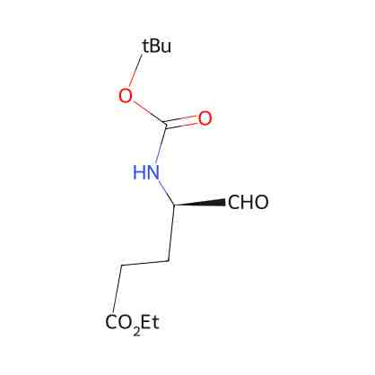 CCOC(=O)CC[C@H](C=O)NC(=O)OC(C)(C)C